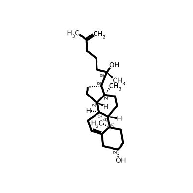 C=C(C)CCC[C@](C)(O)[C@H]1CC[C@H]2[C@@H]3CC=C4C[C@@H](O)CC[C@]4(C)[C@H]3CC[C@@]21C